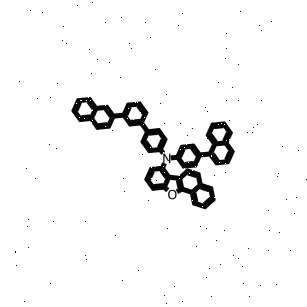 c1cc(-c2ccc(N(c3ccc(-c4cccc5ccccc45)cc3)c3cccc4oc5c6ccccc6ccc5c34)cc2)cc(-c2ccc3ccccc3c2)c1